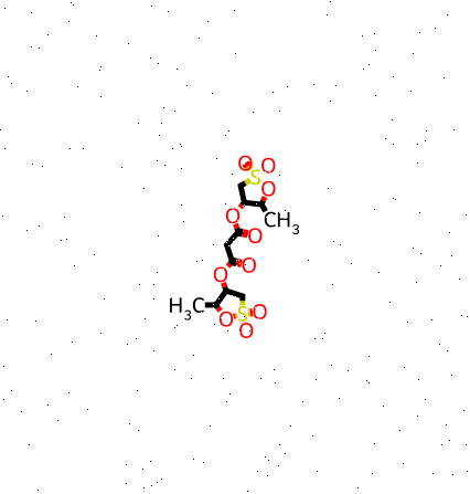 CC1OS(=O)(=O)CC1OC(=O)CC(=O)OC1CS(=O)(=O)OC1C